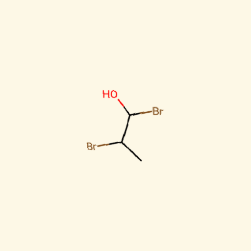 CC(Br)C(O)Br